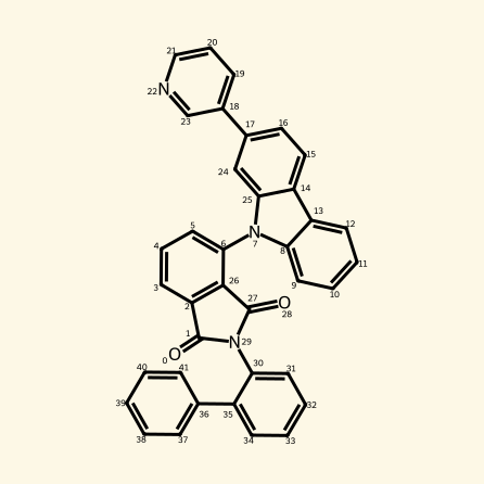 O=C1c2cccc(-n3c4ccccc4c4ccc(-c5cccnc5)cc43)c2C(=O)N1c1ccccc1-c1ccccc1